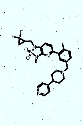 Cc1ccc(CN2CCC(c3ccncc3)CC2)cc1-c1ccc2c(n1)N(C)S(=O)(=O)N2CC1CC1(F)F